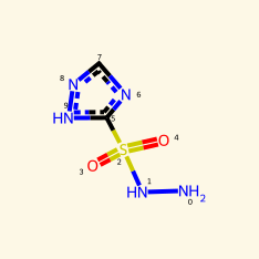 NNS(=O)(=O)c1ncn[nH]1